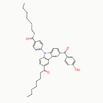 CCCCCCCC(=O)c1ccc(-n2c3ccc(C(=O)CCCCCCC)cc3c3cc(C(=O)c4ccc(O)cc4)ccc32)cc1